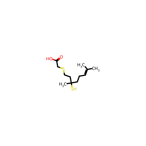 CC(C)=CCCC(C)(S)CCSCC(=O)O